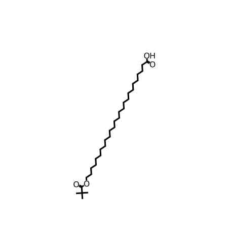 CC(C)(C)C(=O)OCCCCCCCCCCCCCCCCCCCCCCCCCC(=O)O